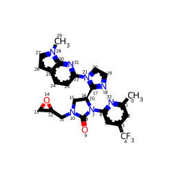 Cc1cc(C(F)(F)F)cc(N2C(=O)N(CC3CO3)C[C@H]2c2nccn2-c2ccc3ccn(C)c3n2)n1